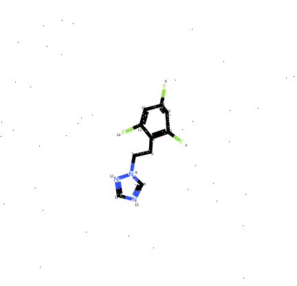 Fc1cc(F)c(CCn2cncn2)c(F)c1